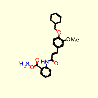 COc1cc(/C=C/C(=O)Nc2ccccc2C(=O)ON)ccc1OCC1CC=CCC1